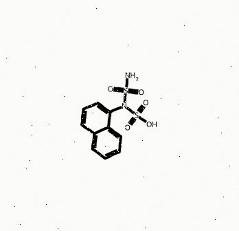 NS(=O)(=O)N(c1cccc2ccccc12)S(=O)(=O)O